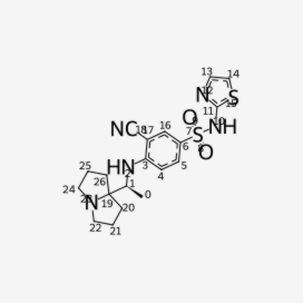 C[C@H](Nc1ccc(S(=O)(=O)Nc2nccs2)cc1C#N)C12CCCN1CCC2